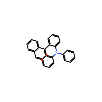 c1ccc(N(c2ccccc2)c2ccccc2-c2cccc3ccccc23)cc1